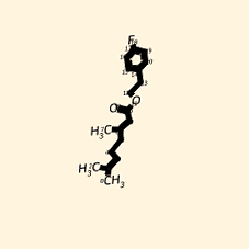 CC(C)=CCC/C(C)=C/C(=O)OCCc1ccc(F)cc1